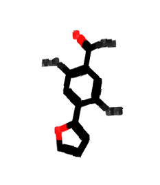 COC(=O)c1cc(C=O)c(-c2ccco2)cc1OC